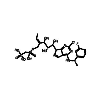 C/C=C(/COP(=O)(O)CP(=O)(O)O)[C@@H](O)[C@@H](O)[C@@H](O)n1ncc2c(N[C@H](C)c3cccc(F)c3)nc(Cl)nc21